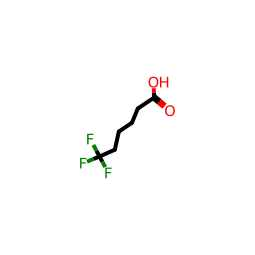 O=C(O)CCCCC(F)(F)F